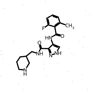 Cc1cccc(F)c1C(=O)Nc1c[nH]nc1C(=O)NCC1CCCNC1